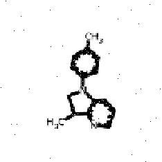 Cc1ccc(N2CC(C)c3ncccc32)cc1